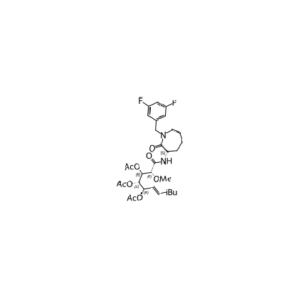 CCC(C)C=C[C@@H](OC(C)=O)[C@H](OC(C)=O)[C@@H](OC(C)=O)[C@@H](OC)C(=O)N[C@H]1CCCCN(Cc2cc(F)cc(F)c2)C1=O